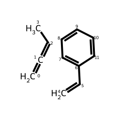 C=C=CC.C=Cc1ccccc1